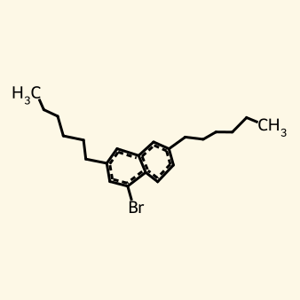 CCCCCCc1ccc2c(Br)cc(CCCCCC)cc2c1